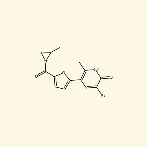 CCc1cc(-c2ccc(C(=O)N3CC3C)o2)c(C)[nH]c1=O